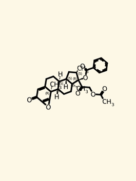 CC(=O)OCC(=O)[C@@]1(OC(=O)c2ccccc2)[C@@H](C)C[C@H]2[C@@H]3CCC4=CC(=O)C5=C(O5)[C@]4(C)[C@H]3CC[C@@]21C